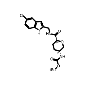 CC(C)(C)OC(=O)N[C@@H]1CC[C@@H](C(=O)NCc2cc3cc(Cl)ccc3[nH]2)OC1